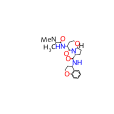 CNC(C)C(=O)N[C@H]1CCO[C@H]2CC[C@@H](C(=O)NC3CCOc4ccccc43)N2C1=O